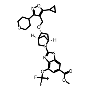 COC(=O)c1cc(OC(F)(F)F)c2nc(N3C[C@@H]4C[C@H]3C[C@H]4OCc3c(C4CCOCC4)noc3C3CC3)sc2c1